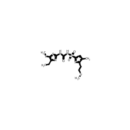 CCc1nc(NC(=O)NS(=O)(=O)c2cc(C)c(CCOC)s2)sc1SC